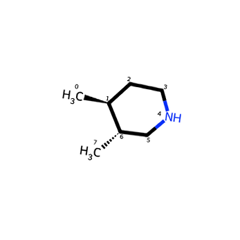 C[C@H]1CCNC[C@@H]1C